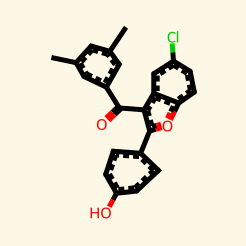 Cc1cc(C)cc(C(=O)c2c(-c3ccc(O)cc3)oc3ccc(Cl)cc23)c1